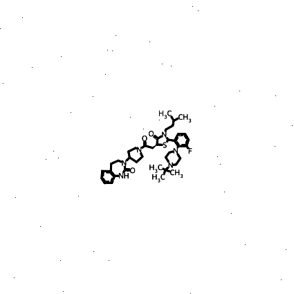 CC(C)CCN1C(=O)[C@H](CC(=O)N2CCC(N3CCc4ccccc4NC3=O)CC2)SC1c1cccc(F)c1N1CCN(C(C)(C)C)CC1